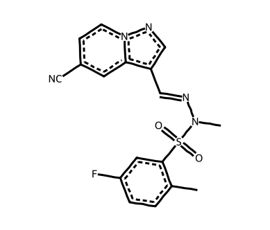 Cc1ccc(F)cc1S(=O)(=O)N(C)N=Cc1cnn2ccc(C#N)cc12